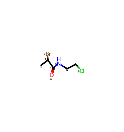 CC(Br)C(=O)NCCCl